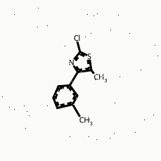 Cc1cccc(-c2nc(Cl)sc2C)c1